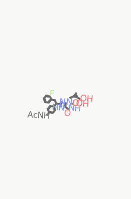 CC(=O)Nc1ccc(C(Cc2ccccc2F)c2nc3c([nH]2)c(=O)[nH]c(=O)n3CC2CC2C(O)O)cc1